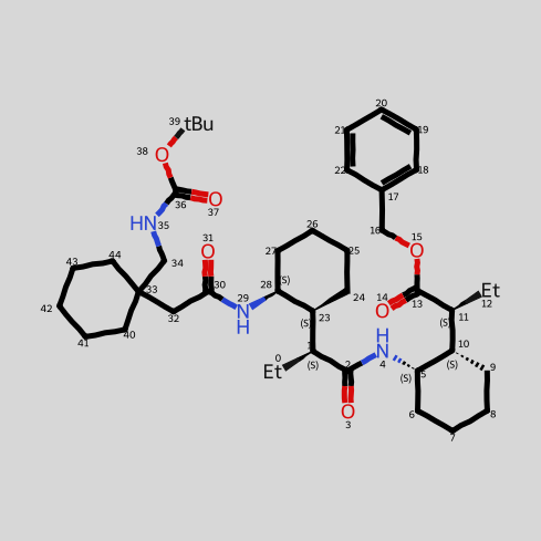 CC[C@H](C(=O)N[C@H]1CCCC[C@H]1[C@H](CC)C(=O)OCc1ccccc1)[C@@H]1CCCC[C@@H]1NC(=O)CC1(CNC(=O)OC(C)(C)C)CCCCC1